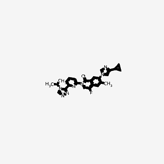 Cc1cc2c(F)cn(-c3cccc(-c4nncn4C(C)C)n3)c(=O)c2cc1-n1cnc(C2CC2)c1